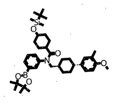 COc1ccc([C@H]2CC[C@H](CN(C(=O)C3CCC(O[Si](C)(C)C(C)(C)C)CC3)c3cccc(B4OC(C)(C)C(C)(C)O4)c3)CC2)cc1C